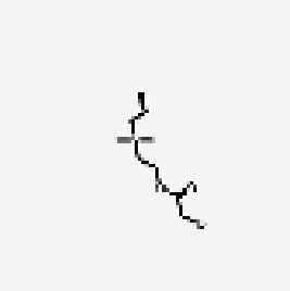 C=CC[Si](C)(C)CCOC(=O)CBr